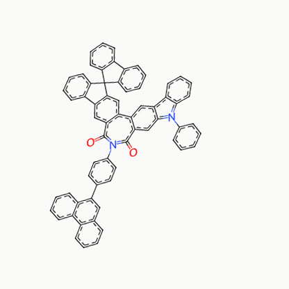 O=c1c2cc3c(cc2c2cc4c5ccccc5n(-c5ccccc5)c4cc2c(=O)n1-c1ccc(-c2cc4ccccc4c4ccccc24)cc1)C1(c2ccccc2-c2ccccc21)c1ccccc1-3